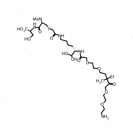 CCC(C)(CCOCCOCC(=O)N[C@@H](CCCCNC(=O)CSC[C@H](NC)C(=O)N[C@@H](CO)C(=O)O)C(O)O)C(=O)COCCOCCN